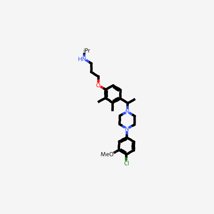 COc1cc(N2CCN(C(C)c3ccc(OCCCNC(C)C)c(C)c3C)CC2)ccc1Cl